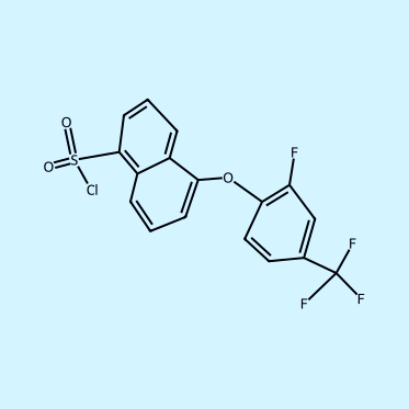 O=S(=O)(Cl)c1cccc2c(Oc3ccc(C(F)(F)F)cc3F)cccc12